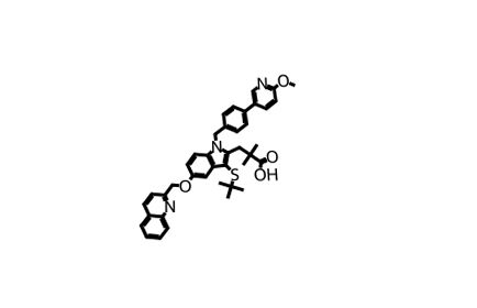 COc1ccc(-c2ccc(Cn3c(CC(C)(C)C(=O)O)c(SC(C)(C)C)c4cc(OCc5ccc6ccccc6n5)ccc43)cc2)cn1